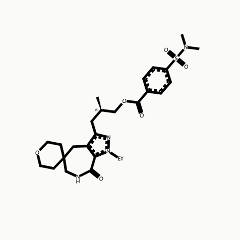 CCn1nc(C[C@@H](C)COC(=O)c2ccc(S(=O)(=O)N(C)C)cc2)c2c1C(=O)NCC1(CCOCC1)C2